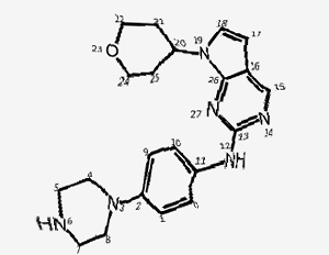 c1cc(N2CCNCC2)ccc1Nc1ncc2ccn(C3CCOCC3)c2n1